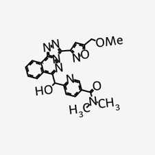 COCc1cc(-c2nnc3c4ccccc4c(C(O)c4ccc(C(=O)N(C)C)cn4)nn23)no1